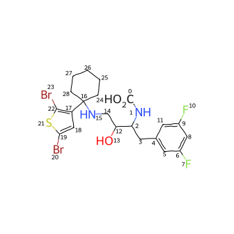 O=C(O)NC(Cc1cc(F)cc(F)c1)C(O)CNC1(c2cc(Br)sc2Br)CCCCC1